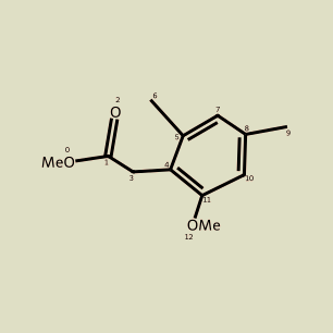 COC(=O)Cc1c(C)cc(C)cc1OC